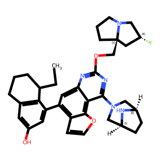 CCC1CCCc2cc(O)cc(-c3cc4nc(OC[C@@]56CCCN5C[C@H](F)C6)nc(N5C[C@H]6CC[C@@H](C5)N6)c4c4occc34)c21